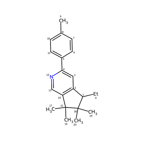 CCC1c2cc(-c3ccc(C)cc3)ncc2C(C)(C)C1(C)C